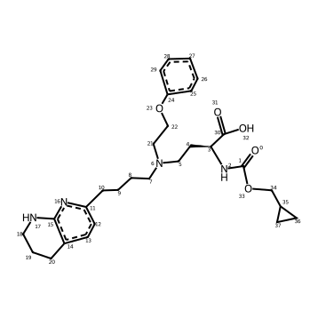 O=C(N[C@@H](CCN(CCCCc1ccc2c(n1)NCCC2)CCOc1ccccc1)C(=O)O)OCC1CC1